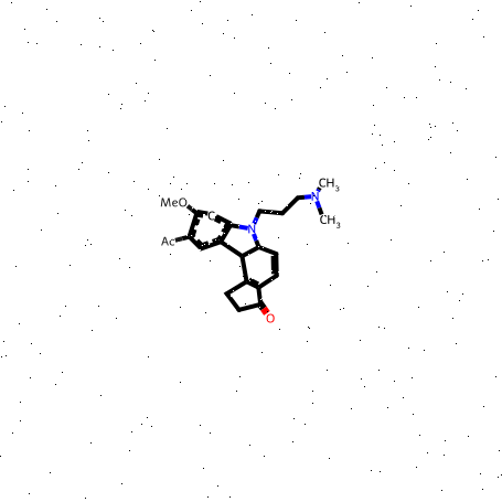 COc1cc2c(cc1C(C)=O)C1C3=C(C=CC1N2CCCN(C)C)C(=O)CC3